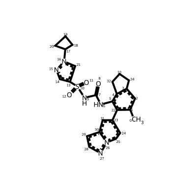 Cc1cc2c(c(NC(=O)NS(=O)(=O)c3cnn(C4CCC4)c3)c1-c1ccn3nccc3c1)CCC2